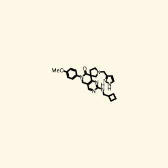 COc1ccc(N2Cc3cnc(NCC4CCC4)nc3C3(CCN(Cc4cc[nH]n4)C3)C2=O)cc1